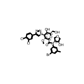 CO[C@@H]1[C@@H](n2cc(-c3ccc(Cl)c(Cl)c3)nn2)[C@@H](O)[C@@H](CO)O[C@H]1C(=O)N(c1cc(C)cc(Br)c1)[C@H]1COC[C@@H]1O